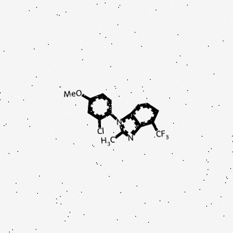 COc1ccc(-n2c(C)nc3c(C(F)(F)F)cccc32)c(Cl)c1